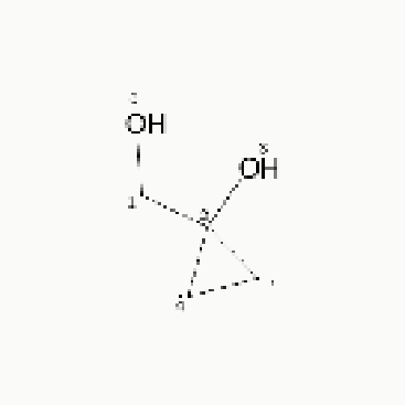 OCC1(O)[CH]C1